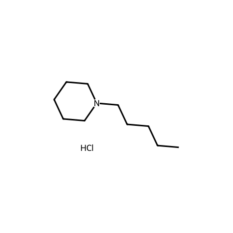 CCCCCN1CCCCC1.Cl